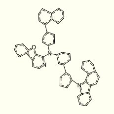 c1cc(-c2cccc(-n3c4ccccc4c4ccc5ccccc5c43)c2)cc(N(c2ccc(-c3cccc4ccccc34)cc2)c2nccc3c2oc2ccccc23)c1